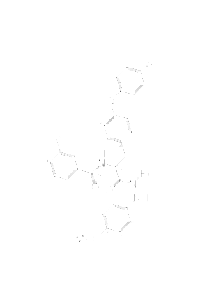 CCN(Nc1ccc(OC)cc1)C(=O)C(Cc1ccc(Oc2ccc(Cl)cc2)cc1)NC(=O)c1cccc(C)c1